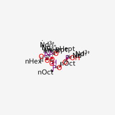 CCCCCCCCO[PH](=O)CCCCCCCC.CCCCCCCOP(=O)(CCCCCCC)P(=O)(CCCCCC)OCCCCCC.O=PO.[Nd+3].[Nd+3].[Nd+3].[Nd+3]